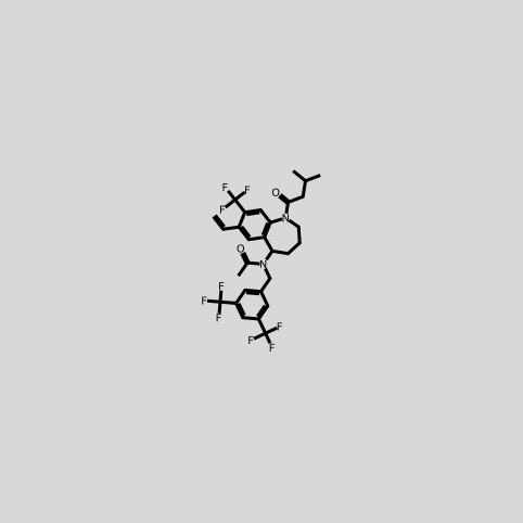 C=Cc1cc2c(cc1C(F)(F)F)N(C(=O)CC(C)C)CCCC2N(Cc1cc(C(F)(F)F)cc(C(F)(F)F)c1)C(C)=O